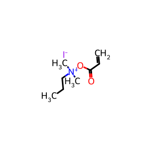 C=CC(=O)O[N+](C)(C)CCC.[I-]